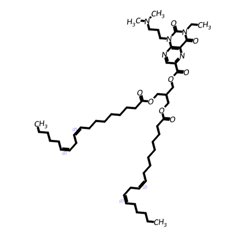 CCCCC/C=C\C/C=C\CCCCCCCC(=O)OCC(COC(=O)CCCCCCC/C=C\C/C=C\CCCCC)COC(=O)c1cnc2c(n1)c(=O)n(CC)c(=O)n2CCCN(C)C